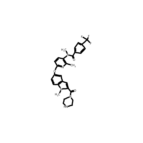 Cc1nc(Oc2ccc3c(c2)cc(C(=O)N2CCNCC2)n3C)ccc1N(C)C(=O)c1ccc(C(F)(F)F)cc1